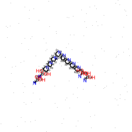 N#CB(O)O.N#CB(O)O.N#CB(O)O.N#CB(O)O.c1ccncc1.c1ccncc1.c1ccncc1.c1ccncc1.c1ccncc1.c1ccncc1.c1ccncc1.c1ccncc1